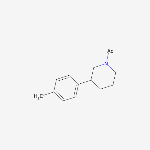 CC(=O)N1CCCC(c2ccc(C)cc2)C1